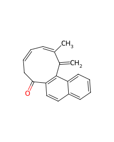 C=C1/C(C)=C\C=C/CC(=O)c2ccc3ccccc3c21